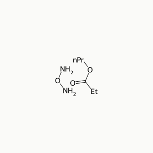 CCCOC(=O)CC.NON